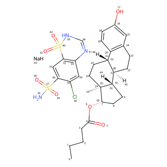 CCCCC(=O)O[C@H]1CC[C@H]2[C@@H]3CCc4cc(O)ccc4[C@H]3CC[C@]12C.NS(=O)(=O)c1cc2c(cc1Cl)N=CNS2(=O)=O.[NaH]